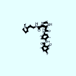 CN1CCCC1CCNC(=O)c1nc[nH]c1C(=O)Nc1ccc(NC(=O)c2ccc(F)cc2Cl)cc1